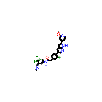 C=N/C=C(\C=C(/C)NC(=O)Cc1ccc(-c2cnc3[nH]c(-c4ccnc(OC)c4)cc3c2)c(F)c1)C(F)(F)F